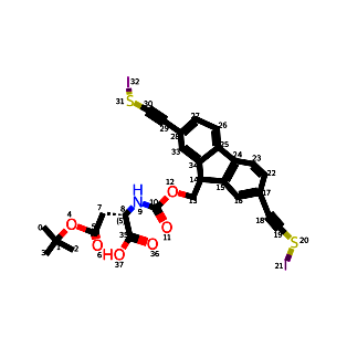 CC(C)(C)OC(=O)C[C@H](NC(=O)OCC1c2cc(C#CSI)ccc2-c2ccc(C#CSI)cc21)C(=O)O